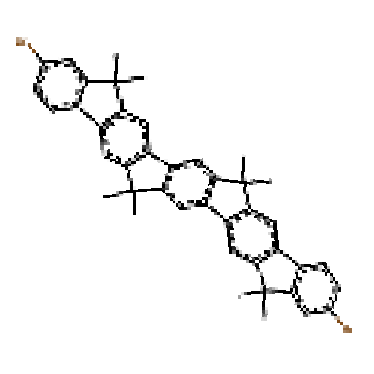 CC1(C)c2cc(Br)ccc2-c2cc3c(cc21)-c1cc2c(cc1C3(C)C)-c1cc3c(cc1C2(C)C)-c1ccc(Br)cc1C3(C)C